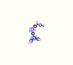 CN(C)C1CCN(C(=O)c2ccc(NC(=O)Nc3ccc(-c4nc(N5C6COCC5C(F)(F)C6)nc(N5C6COCC5C(F)(F)C6)n4)cc3)cc2)CC1